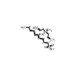 C=CC[N+](C)(C)CC=C.CCCCCCCCCCS(=O)(=O)O